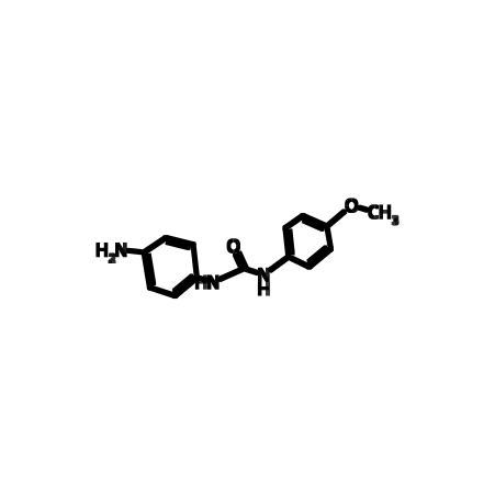 COc1ccc(NC(=O)Nc2ccc(N)cc2)cc1